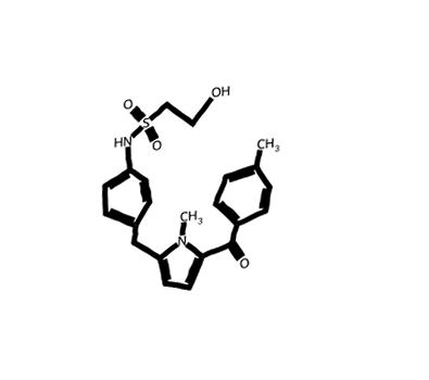 Cc1ccc(C(=O)c2ccc(Cc3ccc(NS(=O)(=O)CCO)cc3)n2C)cc1